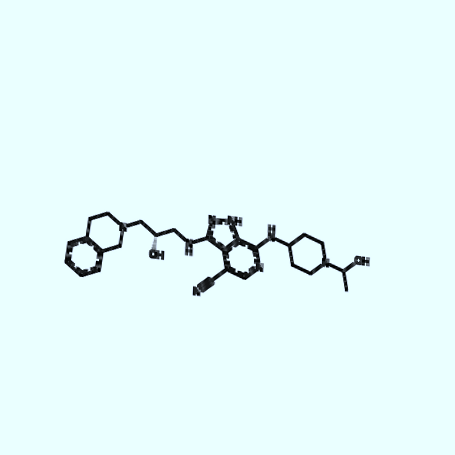 CC(O)N1CCC(Nc2ncc(C#N)c3c(NC[C@H](O)CN4CCc5ccccc5C4)n[nH]c23)CC1